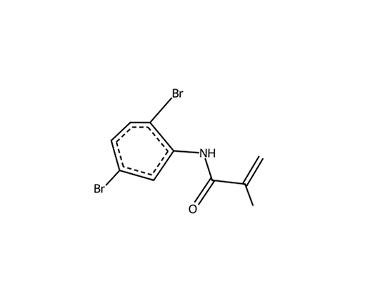 C=C(C)C(=O)Nc1cc(Br)ccc1Br